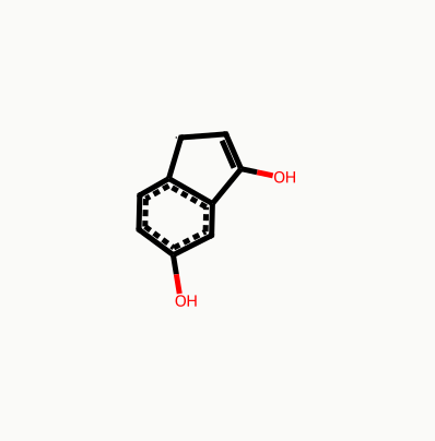 OC1=C[CH]c2ccc(O)cc21